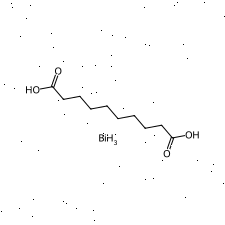 O=C(O)CCCCCCCCC(=O)O.[BiH3]